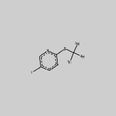 [2H]C([2H])([2H])Sc1ccc(F)cn1